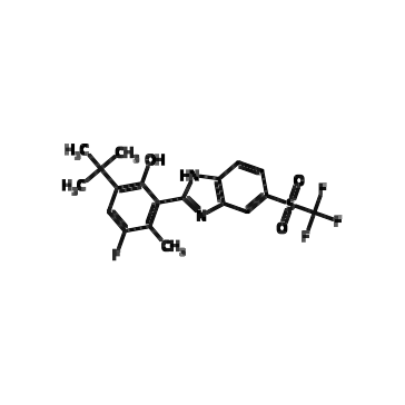 Cc1c(F)cc(C(C)(C)C)c(O)c1-c1nc2cc(S(=O)(=O)C(F)(F)F)ccc2[nH]1